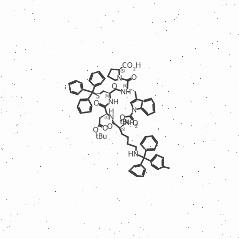 Cc1ccc(C(NCCCC[C@H](N)C(=O)N[C@@H](CC(=O)OC(C)(C)C)C(=O)N[C@@H](CSC(c2ccccc2)(c2ccccc2)c2ccccc2)C(=O)N[C@@H](Cc2cn(C(=O)OC(C)(C)C)c3ccccc23)C(=O)N2CCC[C@H]2C(=O)O)(c2ccccc2)c2ccccc2)cc1